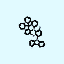 Brc1ccc(-n2c3ccccc3c3ccccc32)cc1N1c2ccccc2C(c2ccccc2)(c2ccccc2)c2cccc(Br)c21